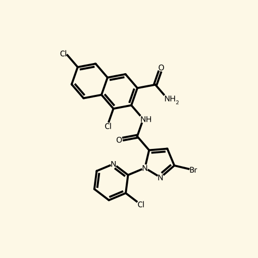 NC(=O)c1cc2cc(Cl)ccc2c(Cl)c1NC(=O)c1cc(Br)nn1-c1ncccc1Cl